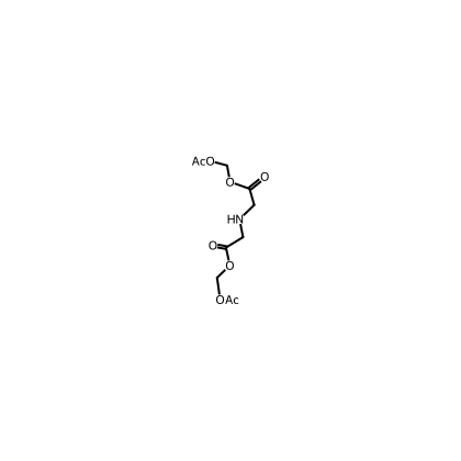 CC(=O)OCOC(=O)CNCC(=O)OCOC(C)=O